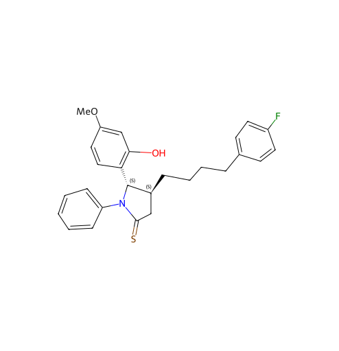 COc1ccc([C@@H]2[C@@H](CCCCc3ccc(F)cc3)CC(=S)N2c2ccccc2)c(O)c1